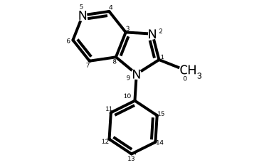 Cc1nc2cnccc2n1-c1cc[c]cc1